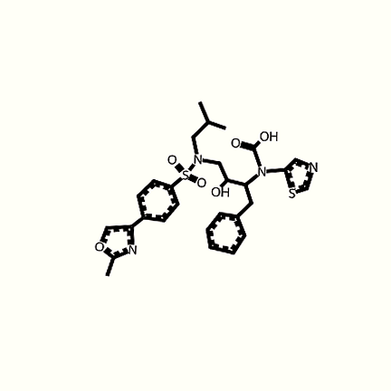 Cc1nc(-c2ccc(S(=O)(=O)N(CC(C)C)CC(O)C(Cc3ccccc3)N(C(=O)O)c3cncs3)cc2)co1